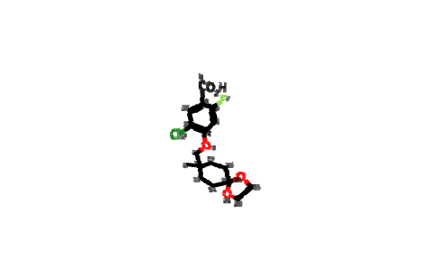 CC1(COc2cc(F)c(C(=O)O)cc2Cl)CCC2(CC1)OCCO2